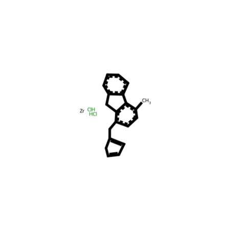 Cc1ccc(CC2=CC=CC2)c2c1-c1ccccc1C2.Cl.Cl.[Zr]